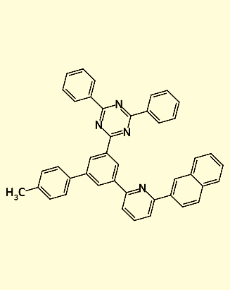 Cc1ccc(-c2cc(-c3cccc(-c4ccc5ccccc5c4)n3)cc(-c3nc(-c4ccccc4)nc(-c4ccccc4)n3)c2)cc1